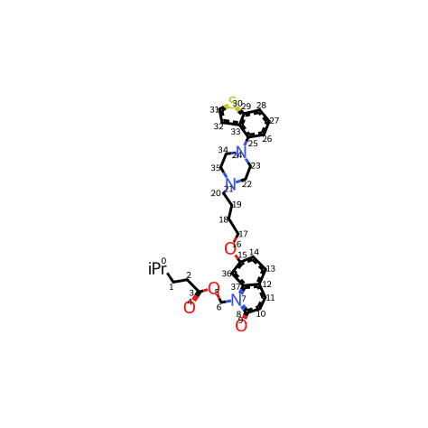 CC(C)CCC(=O)OCn1c(=O)ccc2ccc(OCCCCN3CCN(c4cccc5sccc45)CC3)cc21